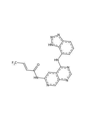 O=C(C=CC(F)(F)F)Nc1cc2c(Nc3cccc4nn[nH]c34)ncnc2cn1